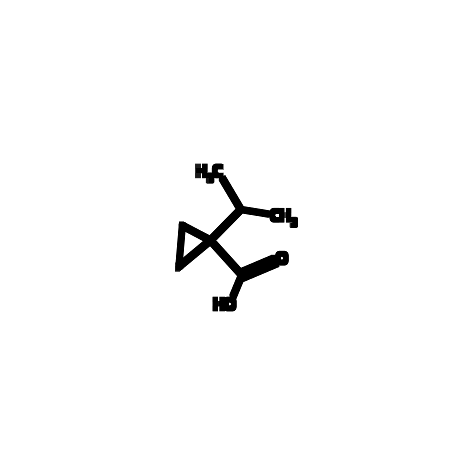 CC(C)C1(C(=O)O)CC1